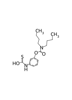 CCCCN(CCCC)C(=O)Oc1cccc(NC(O)=S)c1